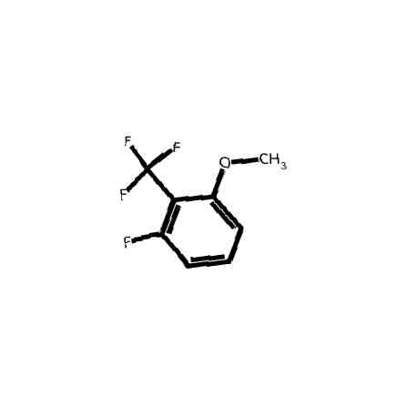 COc1cccc(F)c1C(F)(F)F